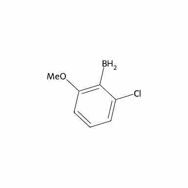 Bc1c(Cl)cccc1OC